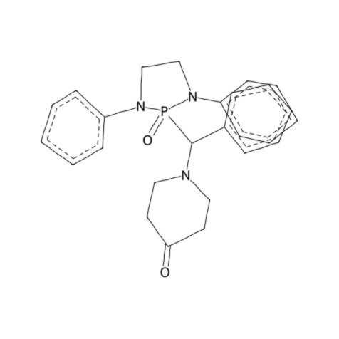 O=C1CCN(C(c2ccccc2)P2(=O)N(c3ccccc3)CCN2c2ccccc2)CC1